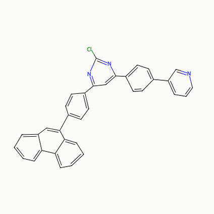 Clc1nc(-c2ccc(-c3cccnc3)cc2)cc(-c2ccc(-c3cc4ccccc4c4ccccc34)cc2)n1